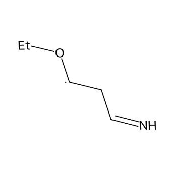 CCO[CH]CC=N